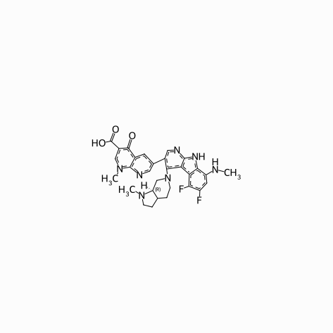 CNc1cc(F)c(F)c2c1[nH]c1ncc(-c3cnc4c(c3)c(=O)c(C(=O)O)cn4C)c(N3CCC4CCN(C)[C@H]4C3)c12